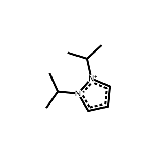 CC(C)n1ccc[n+]1C(C)C